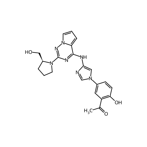 CC(=O)c1cc(-n2cnc(Nc3nc(N4CCC[C@H]4CO)nn4cccc34)c2)ccc1O